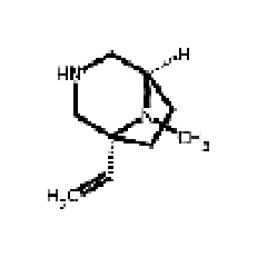 C=C[C@]12CC[C@H](CNC1)N2C